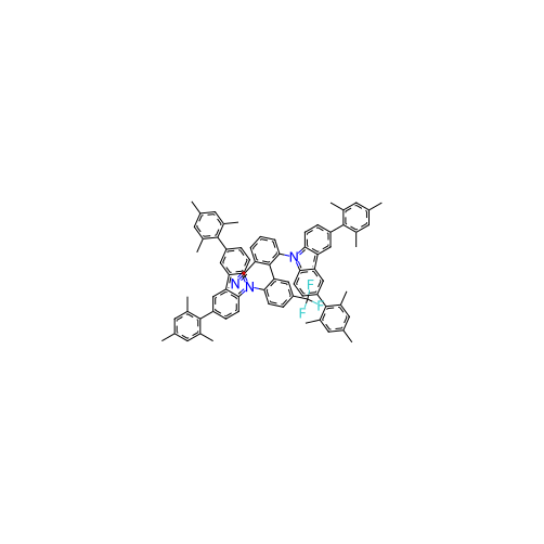 Cc1cc(C)c(-c2ccc3c(c2)c2cc(-c4c(C)cc(C)cc4C)ccc2n3-c2ccc(C(F)(F)F)cc2-c2c(C#N)cccc2-n2c3ccc(-c4c(C)cc(C)cc4C)cc3c3cc(-c4c(C)cc(C)cc4C)ccc32)c(C)c1